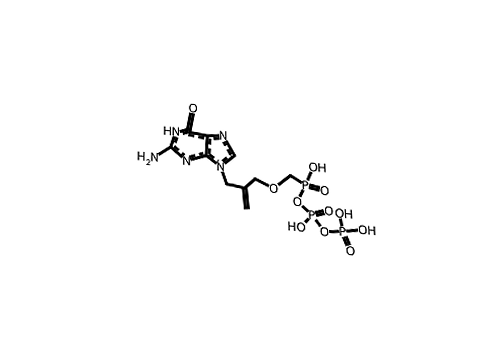 C=C(COCP(=O)(O)OP(=O)(O)OP(=O)(O)O)Cn1cnc2c(=O)[nH]c(N)nc21